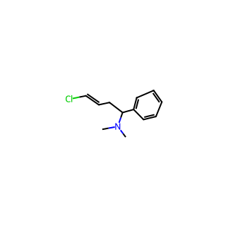 CN(C)C(CC=CCl)c1ccccc1